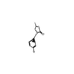 CC1CN(c2ccc(Br)cc2)C(=O)O1